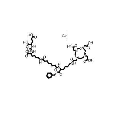 O=C(O)CCC(NC(=O)NC(CCCCNC(=O)CCCCCCC(=O)NC(CCCCNC(=O)CN1CCN(CC(=O)O)CCN(CC(=O)O)CCN(CC(=O)O)CC1)C(=O)OCc1ccccc1)C(=O)O)C(=O)O.[Ga]